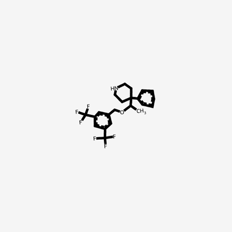 CC(OCc1cc(C(F)(F)F)cc(C(F)(F)F)c1)C1(c2ccccc2)CCNCC1